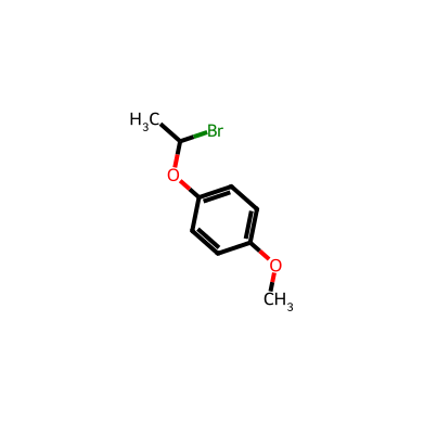 COc1ccc(OC(C)Br)cc1